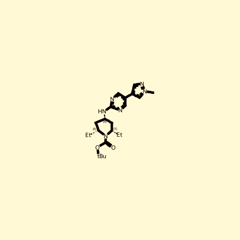 CC[C@@H]1C[C@H](Nc2ncc(-c3cnn(C)c3)cn2)C[C@H](CC)N1C(=O)OC(C)(C)C